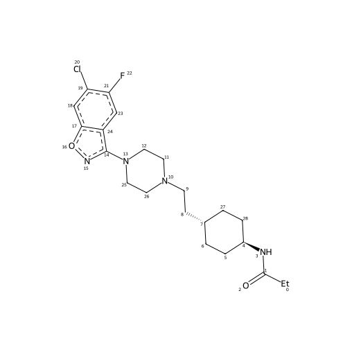 CCC(=O)N[C@H]1CC[C@H](CCN2CCN(c3noc4cc(Cl)c(F)cc34)CC2)CC1